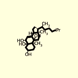 CC(C)CCC[C@@H](C)[C@H]1CC[C@H]2C3=C[C@@H](O)[C@@]4(O)C[C@@H](O)CC[C@]4(C)[C@@]3(O)CC[C@]12C